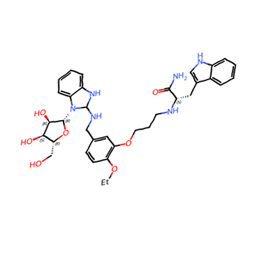 CCOc1ccc(CNC2Nc3ccccc3N2[C@@H]2O[C@H](CO)[C@@H](O)[C@H]2O)cc1OCCCN[C@@H](Cc1c[nH]c2ccccc12)C(N)=O